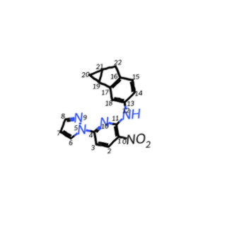 O=[N+]([O-])c1ccc(-n2cccn2)nc1Nc1ccc2c(c1)C1CC1C2